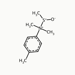 Cc1ccc([N+](C)(C)[S+](C)[O-])cc1